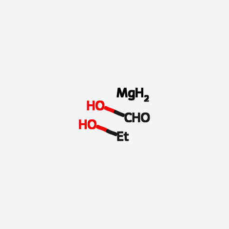 CCO.O=CO.[MgH2]